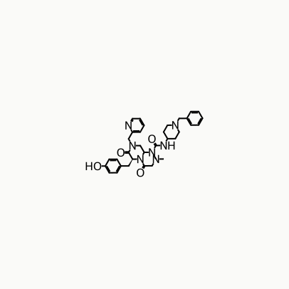 CN1CC(=O)N2C(CN(Cc3ccccn3)C(=O)[C@@H]2Cc2ccc(O)cc2)N1C(=O)NC1CCN(Cc2ccccc2)CC1